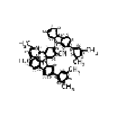 Cc1cc(C)cc(-c2ccc3c4ccccc4n(-c4cc(-c5nc(C)cc(C)n5)c(-n5c6ccccc6c6ccc(-c7cc(C)cc(C)c7)cc65)cc4C#N)c3c2)c1